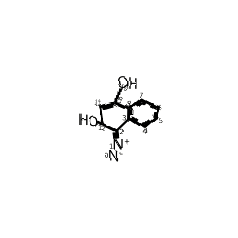 [N-]=[N+]=C1c2ccccc2C(O)=CC1O